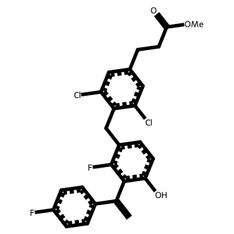 C=C(c1ccc(F)cc1)c1c(O)ccc(Cc2c(Cl)cc(CCC(=O)OC)cc2Cl)c1F